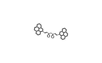 O=C(/C=C/c1cc2cccc3ccc4cccc1c4c32)CC(=O)/C=C/c1cc2cccc3ccc4cccc1c4c32